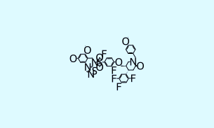 COc1ccc(CN2C[C@H](COc3cc(F)c(S(=O)(=O)N(Cc4ccc(OC)cc4OC)c4ncns4)cc3F)[C@@H](c3cc(F)c(F)cc3F)CC2=O)cc1